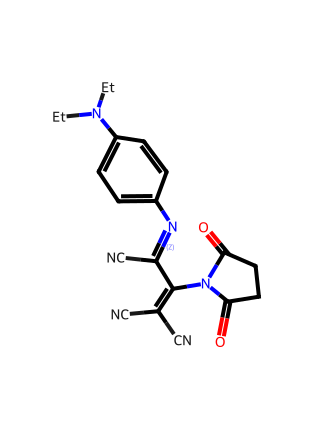 CCN(CC)c1ccc(/N=C(\C#N)C(=C(C#N)C#N)N2C(=O)CCC2=O)cc1